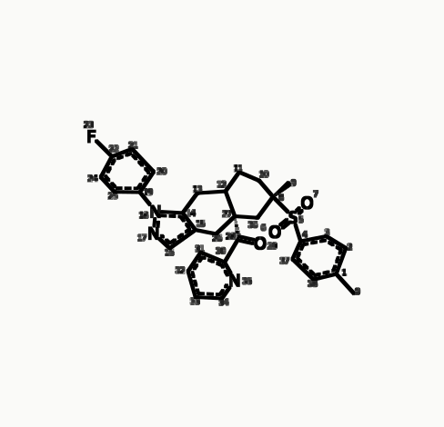 Cc1ccc(S(=O)(=O)[C@@]2(C)CCC3Cc4c(cnn4-c4ccc(F)cc4)C[C@]3(C(=O)c3ccccn3)C2)cc1